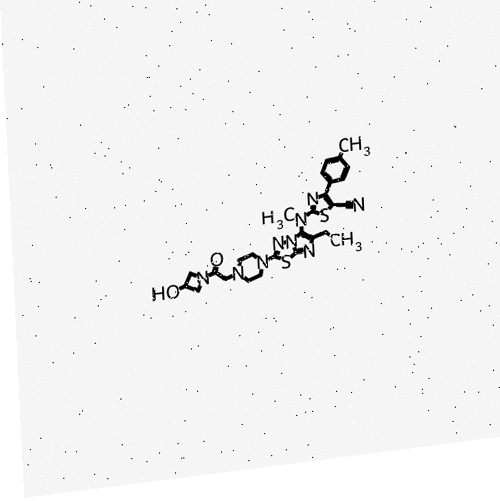 CCc1nc2sc(N3CCN(CC(=O)N4CC(O)C4)CC3)nn2c1N(C)c1nc(-c2ccc(C)cc2)c(C#N)s1